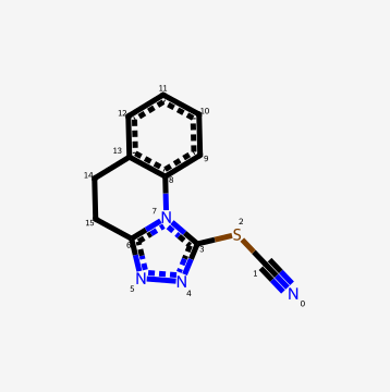 N#CSc1nnc2n1-c1ccccc1CC2